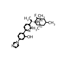 C=C(c1ccc(-c2ccc(-n3ccnc3)cc2O)nn1)[C@H]1C[C@]2(C)CC(C)C[C@@](C)(N2)[C@@H]1F